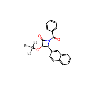 CC[Si](CC)(CC)O[C@H]1C(=O)N(C(=O)c2ccccc2)[C@H]1c1ccc2ccccc2c1